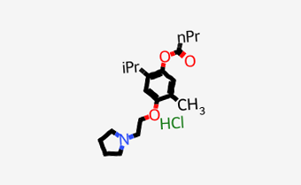 CCCC(=O)Oc1cc(C)c(OCCN2CCCC2)cc1C(C)C.Cl